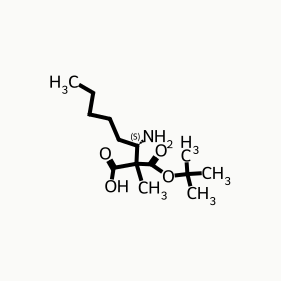 CCCCC[C@H](N)C(C)(C(=O)O)C(=O)OC(C)(C)C